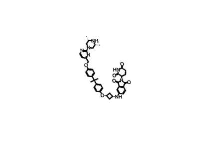 C[C@@H]1CN(c2nccc(COc3ccc(C(C)(C)c4ccc(O[C@H]5C[C@@H](Nc6ccc7c(c6)C(=O)N(C6CCC(=O)NC6=O)C7=O)C5)cc4)cc3)n2)C[C@H](C)N1